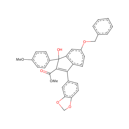 COC(=O)C1=C(c2ccc3c(c2)OCO3)c2ccc(OCc3ccccc3)cc2C1(O)c1ccc(OC)cc1